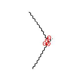 [CH2]CC(OC(=O)CCCCCCCCCCCCCCC)OC(=O)CCCCCCCCCCCCCCCCC